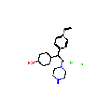 C=Cc1ccc(C(CN2CCNCC2)C2CCC(O)CC2)cc1.Cl.Cl